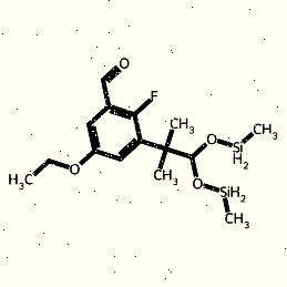 CCOc1cc(C=O)c(F)c(C(C)(C)C(O[SiH2]C)O[SiH2]C)c1